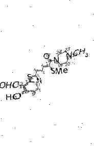 CS/C(=C\C=C\c1nc2ccc(O)c(C=O)c2s1)C(=O)N1CCN(C)CC1